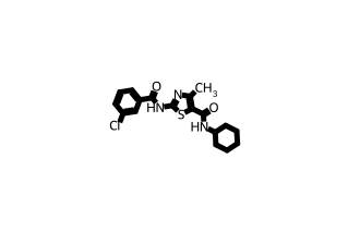 Cc1nc(NC(=O)c2cccc(Cl)c2)sc1C(=O)NC1CCCCC1